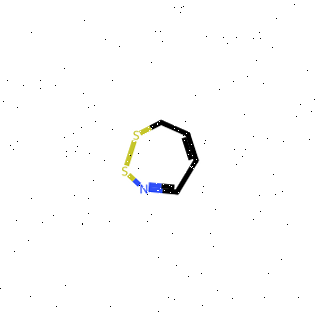 C1=CCSSN=C1